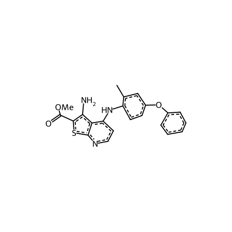 COC(=O)c1sc2nccc(Nc3ccc(Oc4ccccc4)cc3C)c2c1N